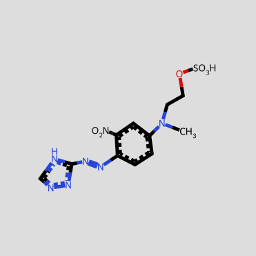 CN(CCOS(=O)(=O)O)c1ccc(N=Nc2nnc[nH]2)c([N+](=O)[O-])c1